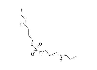 CCCNCCCOS(=O)(=O)OCCCNCCC